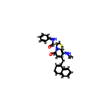 CC(C)Nc1c(Cc2cccc3ccccc23)cc(=O)n2c1SC[C@H]2C(=O)Nc1ccccc1